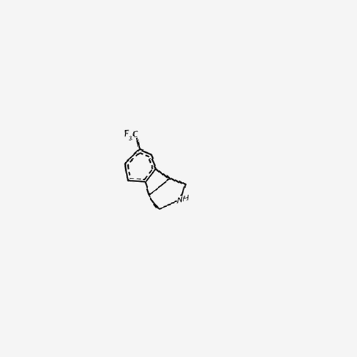 FC(F)(F)c1ccc2c(c1)C1CNCC21